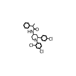 CC(C(=O)NC1CCN(c2ccc(Cl)cc2Cl)C(c2ccc(Cl)cc2)C1)c1ccccc1